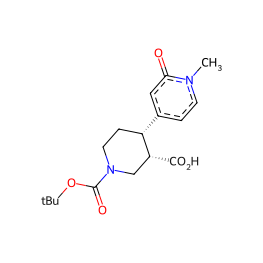 Cn1ccc([C@H]2CCN(C(=O)OC(C)(C)C)C[C@H]2C(=O)O)cc1=O